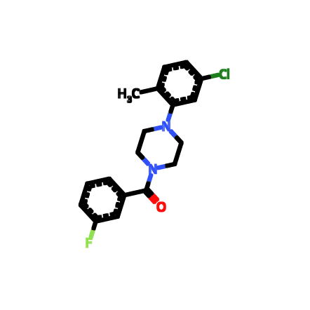 Cc1ccc(Cl)cc1N1CCN(C(=O)c2cccc(F)c2)CC1